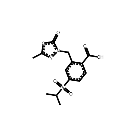 Cc1nn(Cc2cc(S(=O)(=O)C(C)C)ccc2C(=O)O)c(=O)o1